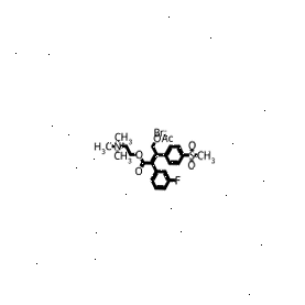 CC(=O)OC/C(=C(\C(=O)OCC[N+](C)(C)C)c1cccc(F)c1)c1ccc(S(C)(=O)=O)cc1.[Br-]